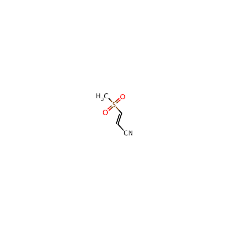 CS(=O)(=O)C=CC#N